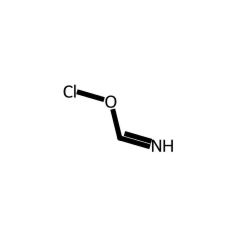 N=COCl